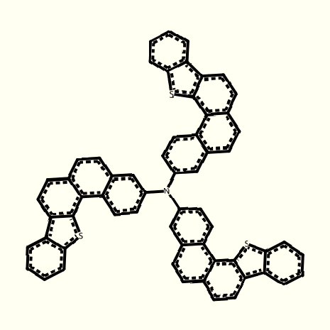 c1ccc2c(c1)sc1c2ccc2ccc3cc(N(c4ccc5c(ccc6ccc7c8ccccc8sc7c65)c4)c4ccc5c(ccc6ccc7c8ccccc8sc7c65)c4)ccc3c21